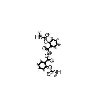 CNC(=O)Oc1ccccc1C(=O)OOC(=O)c1ccccc1OC(=O)NC